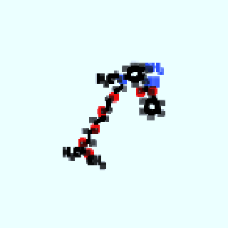 CCN(CCOCCOCCOCCOC(C)OC)c1ccc(N)c(NC(=O)Oc2ccccc2)c1